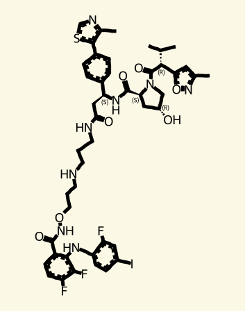 Cc1cc([C@H](C(=O)N2C[C@H](O)C[C@H]2C(=O)N[C@@H](CC(=O)NCCCNCCCONC(=O)c2ccc(F)c(F)c2Nc2ccc(I)cc2F)c2ccc(-c3scnc3C)cc2)C(C)C)on1